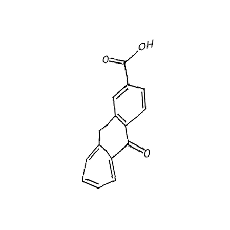 O=C(O)c1ccc2c(c1)Cc1ccccc1C2=O